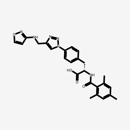 Cc1cc(C)c(C(=O)N[C@@H](Cc2ccc(-n3cc(CNc4ccon4)nn3)cc2)C(=O)O)c(C)c1